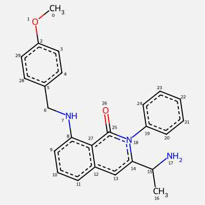 COc1ccc(CNc2cccc3cc(C(C)N)n(-c4ccccc4)c(=O)c23)cc1